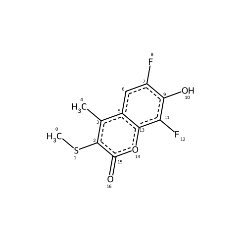 CSc1c(C)c2cc(F)c(O)c(F)c2oc1=O